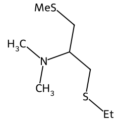 CCSCC(CSC)N(C)C